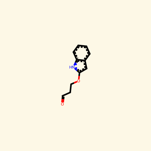 O=[C]CCOc1cc2ccccc2[nH]1